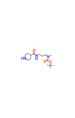 CN(CCCNC(=O)C1CCNCC1)C(=O)OC(C)(C)C